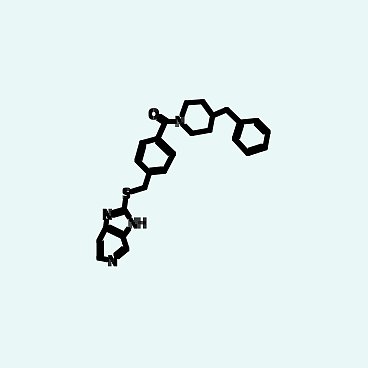 O=C(c1ccc(CSc2nc3ccncc3[nH]2)cc1)N1CCC(Cc2ccccc2)CC1